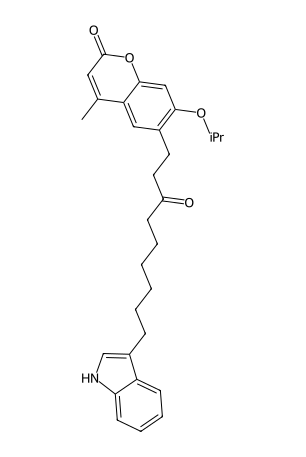 Cc1cc(=O)oc2cc(OC(C)C)c(CCC(=O)CCCCCCc3c[nH]c4ccccc34)cc12